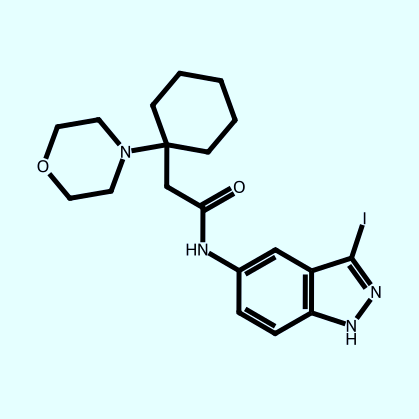 O=C(CC1(N2CCOCC2)CCCCC1)Nc1ccc2[nH]nc(I)c2c1